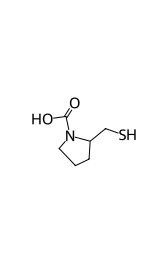 O=C(O)N1CCCC1CS